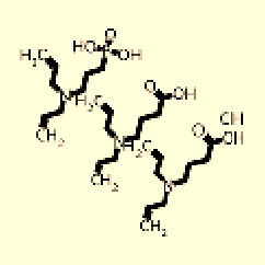 C=CCN(CC=C)CCCC(=O)O.C=CCN(CC=C)CCCC(=O)O.C=CCN(CC=C)CCCP(=O)(O)O.Cl